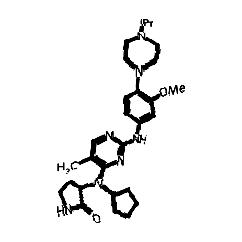 COc1cc(Nc2ncc(C)c(N(C3CCCC3)C3CCNC3=O)n2)ccc1N1CCN(C(C)C)CC1